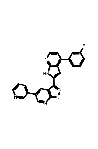 Fc1cccc(-c2ccnc3[nH]c(-c4n[nH]c5ncc(-c6cccnc6)cc45)cc23)c1